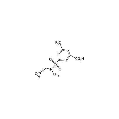 CN(CC1CO1)S(=O)(=O)c1cc(C(=O)O)cc(C(F)(F)F)c1